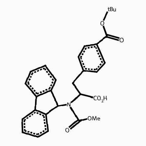 COC(=O)N(C(Cc1ccc(C(=O)OC(C)(C)C)cc1)C(=O)O)C1c2ccccc2-c2ccccc21